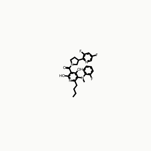 CCCCc1nc(O)c(C(=O)N2CCC(c3ncc(F)cc3F)C2)c(O)c1N(C)c1ccccc1F